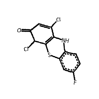 O=C1C=C(Cl)C2=C(Sc3cc(F)ccc3N2)C1Cl